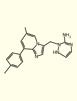 Cc1ccc(-c2cc(C)cn3c(CN4NC=CN=C4N)cnc23)cc1